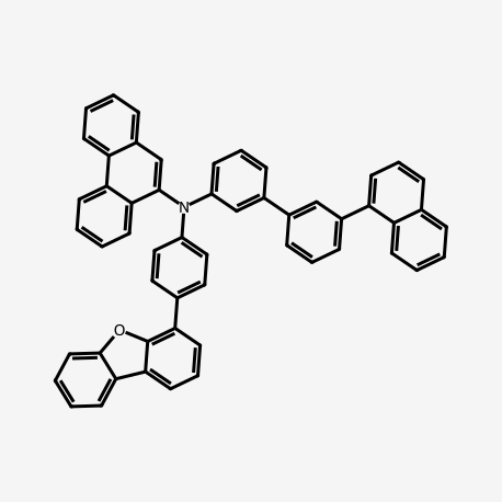 c1cc(-c2cccc(N(c3ccc(-c4cccc5c4oc4ccccc45)cc3)c3cc4ccccc4c4ccccc34)c2)cc(-c2cccc3ccccc23)c1